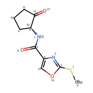 CC(C)(C)Sc1nc(C(=O)N[C@H]2CCCC2=O)co1